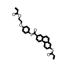 C=CC(=O)OCCOc1ccc(SC(=O)c2ccc3c(ccc4cc(SC(=O)C=C)ccc43)c2)cc1